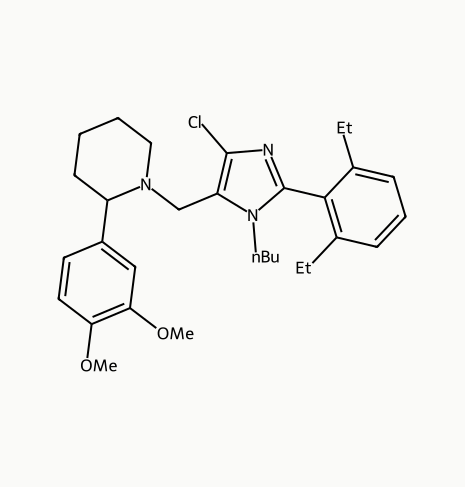 CCCCn1c(-c2c(CC)cccc2CC)nc(Cl)c1CN1CCCCC1c1ccc(OC)c(OC)c1